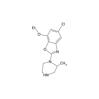 CCOc1cc(Cl)cc2nc(N3CCNCC3C)oc12